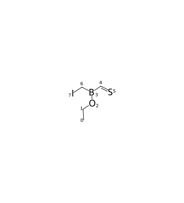 CCOB(C=S)CI